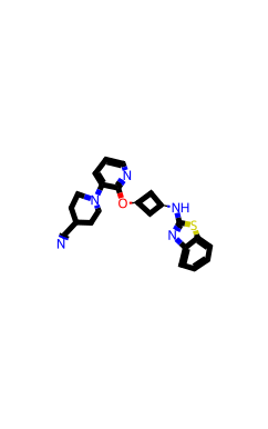 N#CC1CCN(c2cccnc2O[C@H]2C[C@@H](Nc3nc4ccccc4s3)C2)CC1